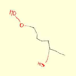 CC(O)CCCOO